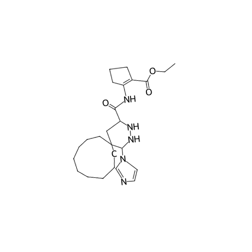 CCOC(=O)C1=C(NC(=O)C2CC3(CCCCCCCCC3)C(n3ccnc3)NN2)CCC1